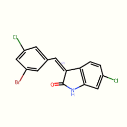 O=C1Nc2cc(Cl)ccc2/C1=C/c1cc(Cl)cc(Br)c1